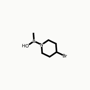 CB(O)N1CCC(Br)CC1